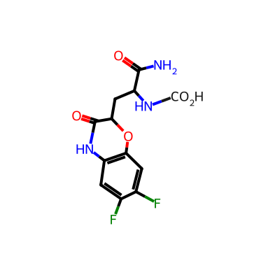 NC(=O)C(CC1Oc2cc(F)c(F)cc2NC1=O)NC(=O)O